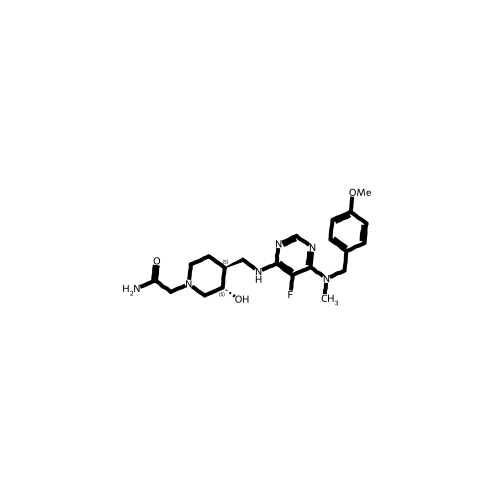 COc1ccc(CN(C)c2ncnc(NC[C@@H]3CCN(CC(N)=O)C[C@H]3O)c2F)cc1